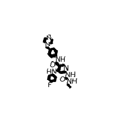 CCNC(=O)Nc1cc(Nc2ccc(F)cc2)c(C(=O)Nc2ccc(CN3CCN(C)CC3)cc2)cn1